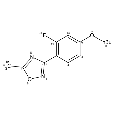 CCCCOc1ccc(-c2noc(C(F)(F)F)n2)c(F)c1